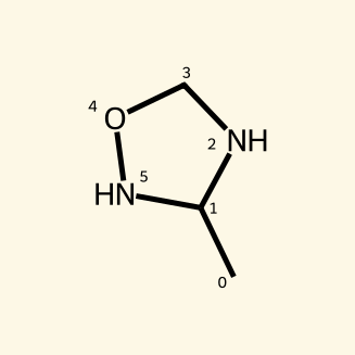 CC1NCON1